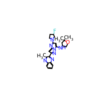 Cc1nc2ccccc2nc1-c1cc2nc(N3CC[C@@H](F)C3)cc(NC3CCOC(C)(C)C3)n2n1